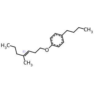 CCCCc1ccc(OCC/C=C(\C)CCC)cc1